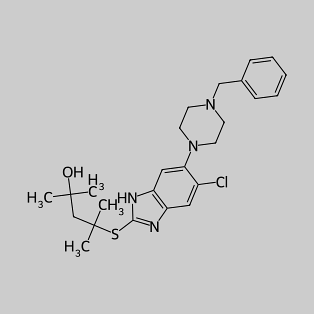 CC(C)(O)CC(C)(C)Sc1nc2cc(Cl)c(N3CCN(Cc4ccccc4)CC3)cc2[nH]1